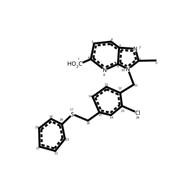 Cc1nc2ccc(C(=O)O)nc2n1Cc1ccc(CSc2ccccc2)cc1Cl